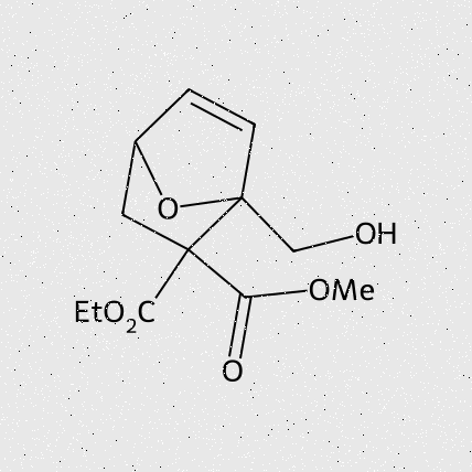 CCOC(=O)C1(C(=O)OC)CC2C=CC1(CO)O2